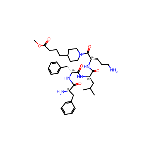 COC(=O)CCCC1CCN(C(=O)[C@@H](CCCN)NC(=O)[C@@H](CC(C)C)NC(=O)[C@@H](Cc2ccccc2)NC(=O)[C@H](N)Cc2ccccc2)CC1